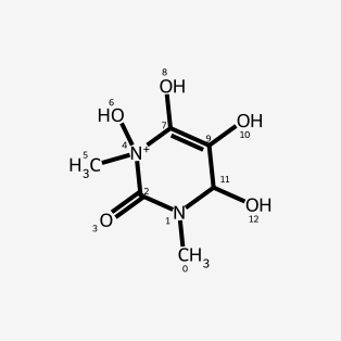 CN1C(=O)[N+](C)(O)C(O)=C(O)C1O